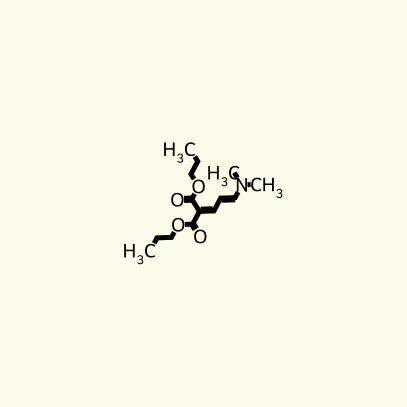 CCCOC(=O)C(=CC=CN(C)C)C(=O)OCCC